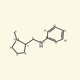 [CH2]N1CCCC1CNc1ccccc1